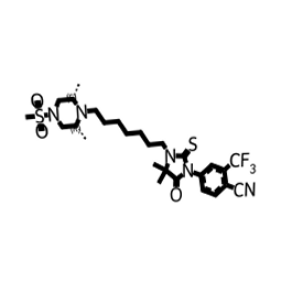 C[C@@H]1CN(S(C)(=O)=O)C[C@H](C)N1CCCCCCCN1C(=S)N(c2ccc(C#N)c(C(F)(F)F)c2)C(=O)C1(C)C